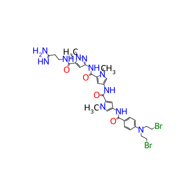 Cn1cc(NC(=O)c2ccc(N(CCBr)CCBr)cc2)cc1C(=O)Nc1cc(C(=O)Nc2cc(C(=O)NCCC(=N)N)n(C)n2)n(C)c1